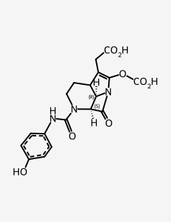 O=C(O)CC1=C(OC(=O)O)N2C(=O)[C@@H]3[C@H]2C1CCN3C(=O)Nc1ccc(O)cc1